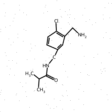 CC(C)C(=O)NCc1ccc(Cl)c(CN)c1